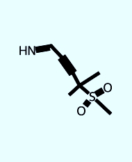 CC(C)(C#CC=N)S(C)(=O)=O